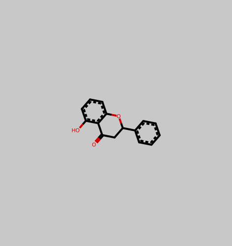 O=C1CC(c2ccccc2)Oc2cccc(O)c21